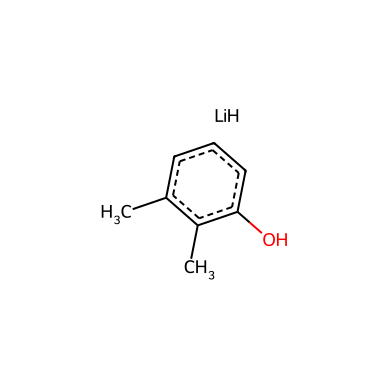 Cc1cccc(O)c1C.[LiH]